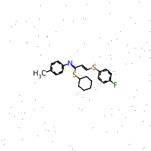 Cc1ccc(N=C(C=CSc2ccc(F)cc2)SC2CCCCC2)cc1